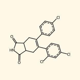 O=C1NC(=O)C2CC(c3ccc(Cl)cc3Cl)=C(c3ccc(Cl)cc3)CC12